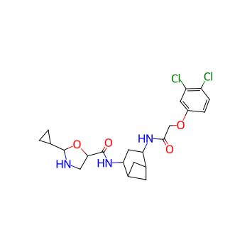 O=C(COc1ccc(Cl)c(Cl)c1)NC1CC(NC(=O)C2CNC(C3CC3)O2)C2CC1C2